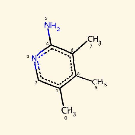 Cc1cnc(N)c(C)c1C